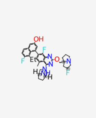 CCc1c(F)ccc2cc(O)cc(-c3cc(C)c4c(N5C[C@H]6CC[C@@H](C5)N6)nc(OC[C@@]56CCCN5C[C@H](F)C6)nc4c3F)c12